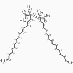 CCCCCCCCCCCCCCCCC(C)(SSC(C)(CCCCCCCCCCCCCCCC)C(=O)O)C(=O)O